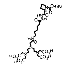 CC(C)(C)OC(=O)N1CCC[C@@H]1C(=O)NNC(=O)CCCCCNC(=O)CN(CCN(CC(=O)O)CC(=O)O)CCN(CC(=O)O)CC(=O)O